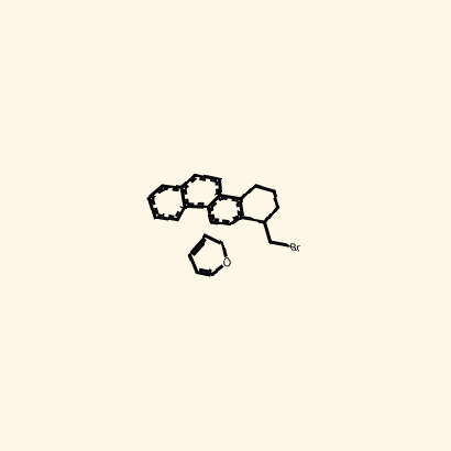 BrCC1CCCc2c1ccc1c2ccc2ccccc21.C1=CCOC=C1